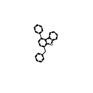 c1ccc(Cc2ccc(-c3ccccc3)c3c2oc2ccccc23)cc1